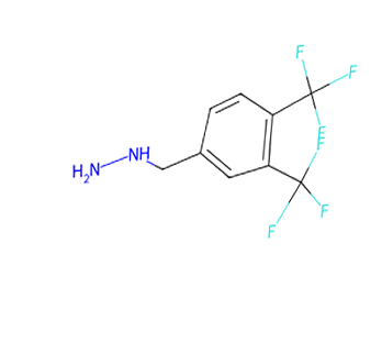 NNCc1ccc(C(F)(F)F)c(C(F)(F)F)c1